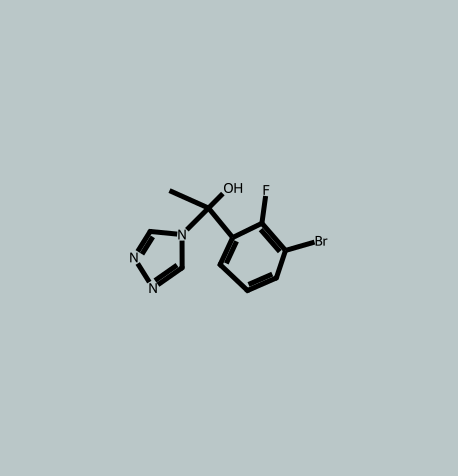 CC(O)(c1cccc(Br)c1F)n1cnnc1